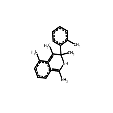 CC1=c2c(N)cccc2=C(N)NC1(C)c1ccccc1C